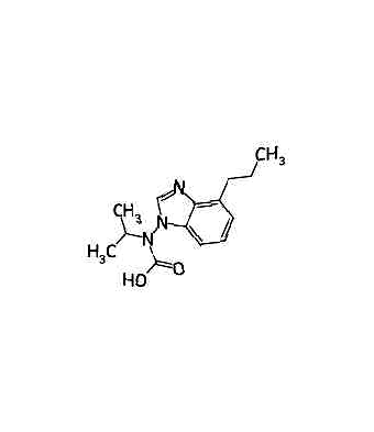 CCCc1cccc2c1ncn2N(C(=O)O)C(C)C